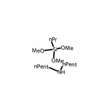 CCCCCNCCCCC.CCC[Si](OC)(OC)OC